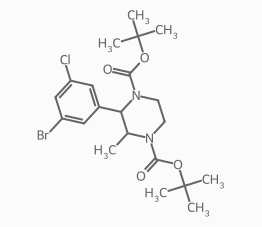 CC1C(c2cc(Cl)cc(Br)c2)N(C(=O)OC(C)(C)C)CCN1C(=O)OC(C)(C)C